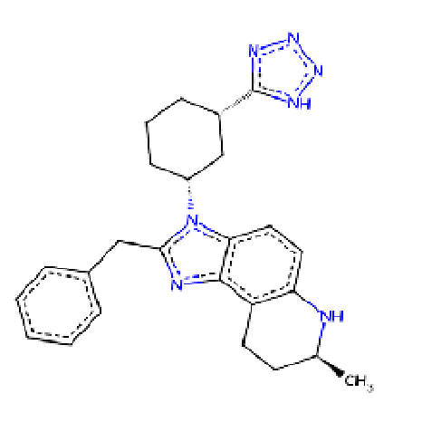 C[C@H]1CCc2c(ccc3c2nc(Cc2ccccc2)n3[C@@H]2CCC[C@H](c3nnn[nH]3)C2)N1